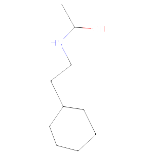 CC(O)NCCC1CCCCC1